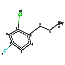 CC(C)CCc1ccc(F)cc1Cl